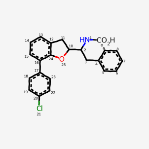 O=C(O)NC(Cc1ccccc1)C1Cc2cccc(-c3ccc(Cl)cc3)c2O1